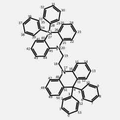 c1ccc(C2(c3ccccc3)c3ccccc3N(CCN3c4ccccc4[Si](c4ccccc4)(c4ccccc4)c4ccccc43)c3ccccc32)cc1